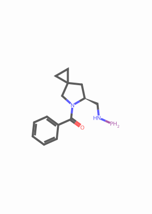 O=C(c1ccccc1)N1CC2(CC2)C[C@H]1CNP